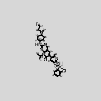 Cc1nc(NS(=O)(=O)c2ccccc2Cl)ccc1-c1cc2cnc(NC3CCC(N(C)CCF)CC3)nc2n(C(C)C)c1=O